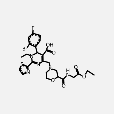 CCOC(=O)CNC(=O)C1CN(CC2=C(C(=O)O)C(c3ccc(F)cc3Br)N(CC)C(c3nccs3)=N2)CCO1